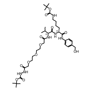 CC(C)[C@H](NC(=O)COCCOCCOCC(=O)NNC(=O)OC(C)(C)C)C(=O)N[C@@H](CCCCNC(=O)OC(C)(C)C)C(=O)Nc1ccc(CO)cc1